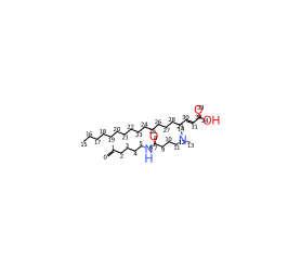 C=CCCCCNC(=O)CCCN(C)C.CCCCCCCCCCCCCCCC=CC(=O)O